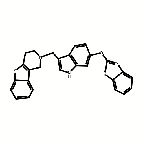 c1ccc2sc(Oc3ccc4c(CN5CCc6sc7ccccc7c6C5)c[nH]c4c3)nc2c1